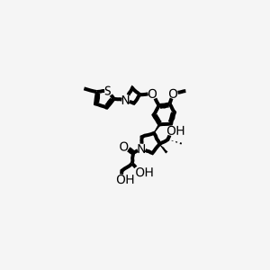 COc1ccc([C@@H]2CN(C(=O)C(O)CO)C[C@@]2(C)[C@@H](C)O)cc1OC1CN(c2ccc(C)s2)C1